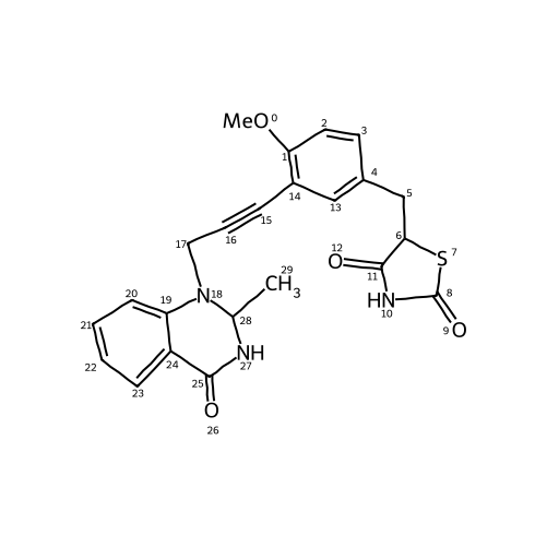 COc1ccc(CC2SC(=O)NC2=O)cc1C#CCN1c2ccccc2C(=O)NC1C